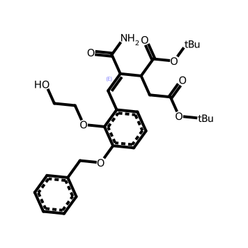 CC(C)(C)OC(=O)CC(C(=O)OC(C)(C)C)/C(=C\c1cccc(OCc2ccccc2)c1OCCO)C(N)=O